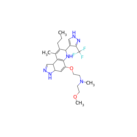 CCCC1=C(C)C2=C(NC1c1c[nH]nc1C(F)(F)F)C(OCCN(C)CCOC)=CC1NN=CC21